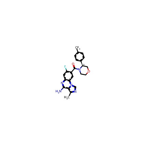 Cc1ncn2c1c(N)nc1cc(F)c(C(=O)N3CCOC[C@@H]3c3ccc(C(F)(F)F)cc3)cc12